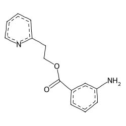 Nc1cccc(C(=O)OCCc2ccccn2)c1